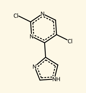 Clc1ncc(Cl)c(-c2c[nH]cn2)n1